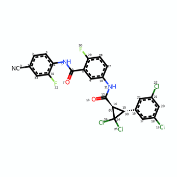 N#Cc1ccc(NC(=O)c2cc(NC(=O)[C@H]3[C@H](c4cc(Cl)cc(Cl)c4)C3(Cl)Cl)ccc2F)c(F)c1